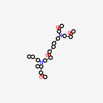 c1ccc2cc(-c3ccc(N(c4ccc(-c5cccc6c5oc5ccc(-c7ccc8cc(-c9ccc(N(c%10ccc(-c%11cccc%12c%11oc%11ccccc%11%12)cc%10)c%10ccc%11oc%12ccccc%12c%11c%10)cc9)ccc8c7)cc56)cc4)c4ccc(-c5ccc6oc7ccccc7c6c5)c5ccccc45)cc3)ccc2c1